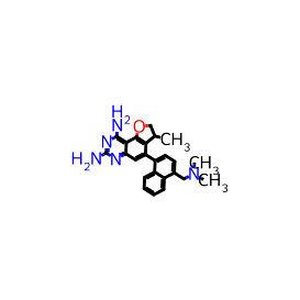 CC1COc2c1c(-c1ccc(CN(C)C)c3ccccc13)cc1nc(N)nc(N)c21